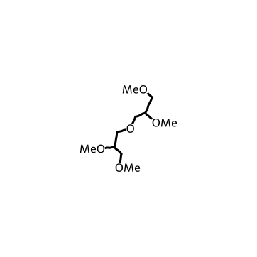 COCC(COCC(COC)OC)OC